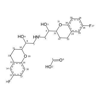 O=CO.OC(CNCC(O)C1CCc2cc(F)ccc2O1)C1CCc2cc(F)ccc2O1